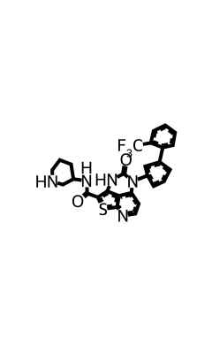 O=C(NC1CCCNC1)c1sc2nccc3c2c1NC(=O)N3c1cccc(-c2ccccc2C(F)(F)F)c1